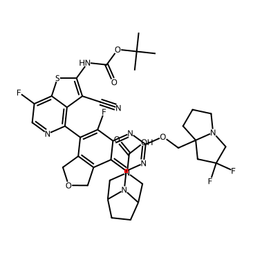 CC(C)(C)OC(=O)Nc1sc2c(F)cnc(-c3c4c(c5c(N6C7CCC6CN(C(=O)O)C7)nc(OCC67CCCN6CC(F)(F)C7)nc5c3F)COC4)c2c1C#N